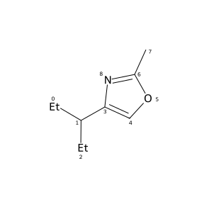 CCC(CC)c1coc(C)n1